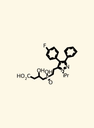 CC(C)n1nc(-c2ccccc2)c(-c2ccc(F)cc2)c1CCP(=O)(O)CC(O)CC(=O)O